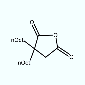 CCCCCCCCC1(CCCCCCCC)CC(=O)OC1=O